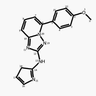 COc1ccc(-c2cccc3nc(NC4=NC=CC4)nn23)cc1